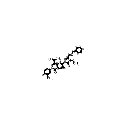 C=C(C)c1cn(-c2ccc(F)c(C)c2)c(=O)c2cc(F)c(-n3nc(COCc4ccccc4)n(CC)c3=O)nc12